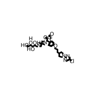 O=COC(=O)C(c1ccc(OCCCC2CCN(c3ncc(Cl)cn3)CC2)cc1F)N1CC2(CN(C[C@H](O)[C@H](O)[C@H](O)CO)C2)C1